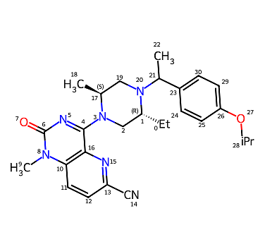 CC[C@@H]1CN(c2nc(=O)n(C)c3ccc(C#N)nc23)[C@@H](C)CN1C(C)c1ccc(OC(C)C)cc1